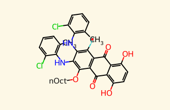 CCCCCCCCOc1c(Nc2c(C)cccc2Cl)c(Nc2c(C)cccc2Cl)c(F)c2c1C(=O)c1c(O)ccc(O)c1C2=O